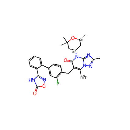 CCCc1c(Cc2ccc(-c3ccccc3-c3noc(=O)[nH]3)cc2F)c(=O)n([C@H]2C[C@@H](C)OC(C)(C)C2)c2nc(C)nn12